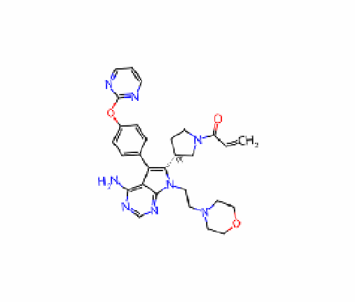 C=CC(=O)N1CC[C@@H](c2c(-c3ccc(Oc4ncccn4)cc3)c3c(N)ncnc3n2CCN2CCOCC2)C1